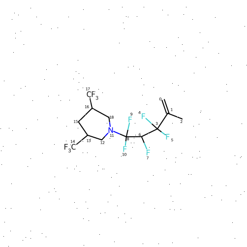 C=C(C)C(F)(F)C(F)C(F)(F)N1CC(C(F)(F)F)CC(C(F)(F)F)C1